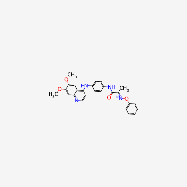 COc1cc2nccc(Nc3ccc(NC(=O)/C(C)=N/Oc4ccccc4)cc3)c2cc1OC